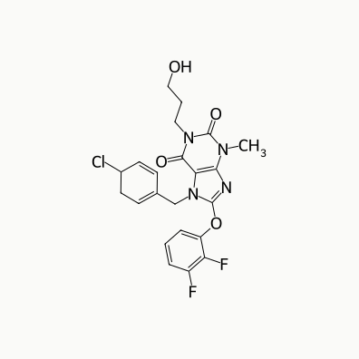 Cn1c(=O)n(CCCO)c(=O)c2c1nc(Oc1cccc(F)c1F)n2CC1=CCC(Cl)C=C1